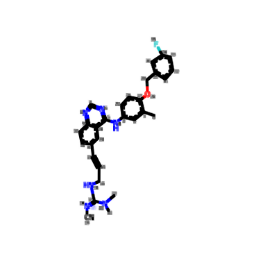 Cc1cc(Nc2ncnc3ccc(C#CCN/C(=N/C#N)N(C)C)cc23)ccc1OCc1cccc(F)c1